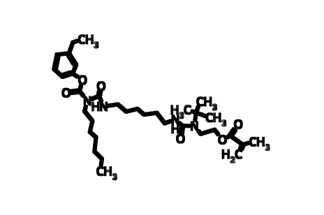 C=C(C)C(=O)OCCN(C(=O)NCCCCCCNC(=O)N(CCCCCCC)C(=O)Oc1cccc(CC)c1)C(C)(C)C